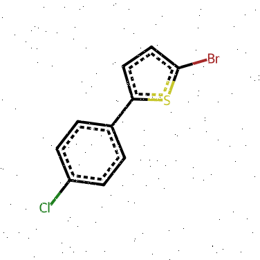 Clc1ccc(-c2ccc(Br)s2)cc1